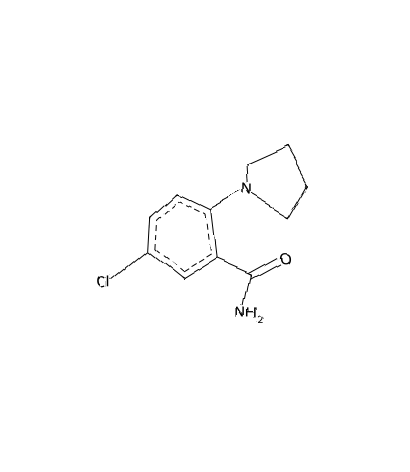 NC(=O)c1cc(Cl)ccc1N1CCCC1